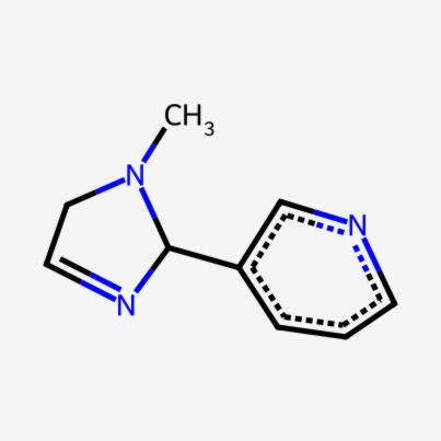 CN1CC=NC1c1cccnc1